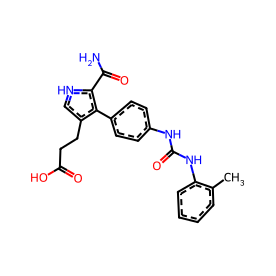 Cc1ccccc1NC(=O)Nc1ccc(-c2c(CCC(=O)O)c[nH]c2C(N)=O)cc1